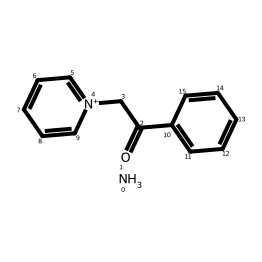 N.O=C(C[n+]1ccccc1)c1ccccc1